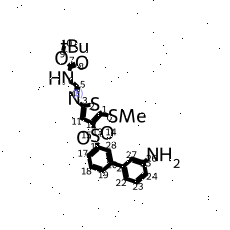 CSc1sc(/N=C/NC(=O)OC(C)(C)C)cc1S(=O)(=O)c1cccc(-c2cccc(N)c2)c1